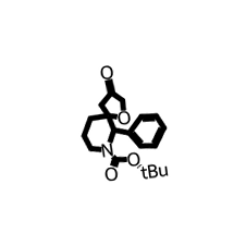 CC(C)(C)OC(=O)N1CCCC2(CC(=O)CO2)C1c1ccccc1